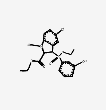 CCOC(=O)C1C(P(=O)(OCC)c2cccc(O)c2)c2cc(Cl)ccc2N1S